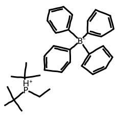 CC[PH+](C(C)(C)C)C(C)(C)C.c1ccc([B-](c2ccccc2)(c2ccccc2)c2ccccc2)cc1